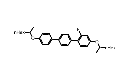 CCCCCC[C@@H](C)Oc1ccc(-c2ccc(-c3ccc(O[C@H](C)CCCCCC)cc3F)cc2)cc1